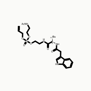 C=CCOP(=O)(OCCNC(C)=O)OCCNC(=O)[C@@H](NC(=O)Cc1c[nH]c2ccccc12)[C@@H](C)CC